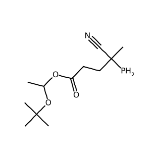 CC(OC(=O)CCC(C)(P)C#N)OC(C)(C)C